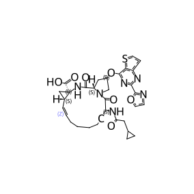 O=C(CC1CC1)N[C@H]1CCCCC/C=C\[C@@H]2C[C@@]2(C(=O)O)NC(=O)[C@@H]2C[C@@H](Oc3nc(-c4ncco4)nc4ccsc34)CN2C1=O